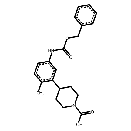 Cc1ccc(NC(=O)OCc2ccccc2)cc1C1CCN(C(=O)O)CC1